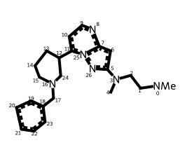 CNCCN(C)c1cc2nccc(C3CCCN(Cc4ccccc4)C3)n2n1